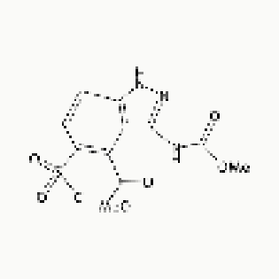 COC(=O)Nc1n[nH]c2ccc(S(=O)(=O)Cl)c(C(=O)OC)c12